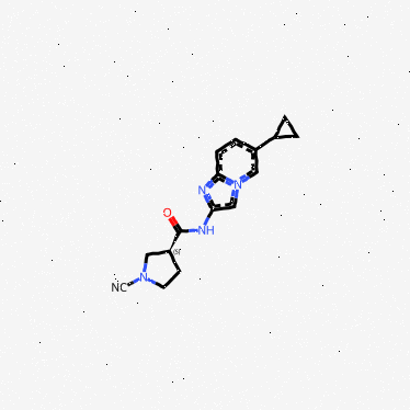 N#CN1CC[C@H](C(=O)Nc2cn3cc(C4CC4)ccc3n2)C1